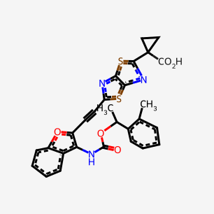 Cc1ccccc1C(C)OC(=O)Nc1c(C#Cc2nc3sc(C4(C(=O)O)CC4)nc3s2)oc2ccccc12